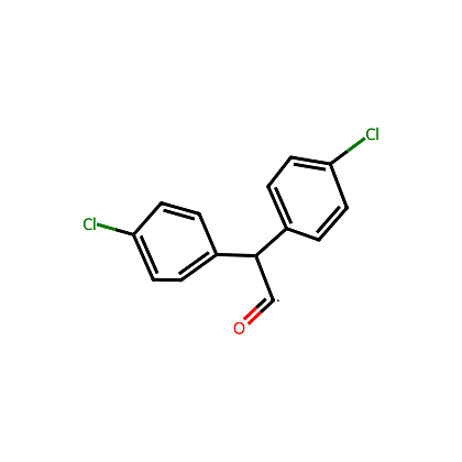 O=[C]C(c1ccc(Cl)cc1)c1ccc(Cl)cc1